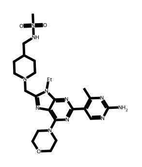 CCn1c(CN2CCC(CNS(C)(=O)=O)CC2)nc2c(N3CCOCC3)nc(-c3cnc(N)nc3C)nc21